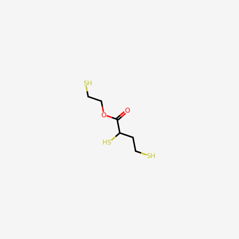 O=C(OCCS)C(S)CCS